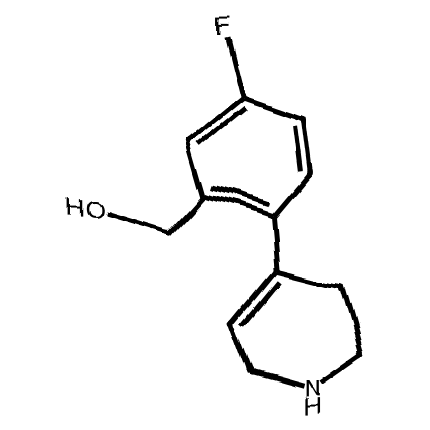 OCc1cc(F)ccc1C1=CCNCC1